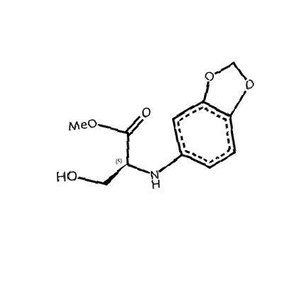 COC(=O)[C@H](CO)Nc1ccc2c(c1)OCO2